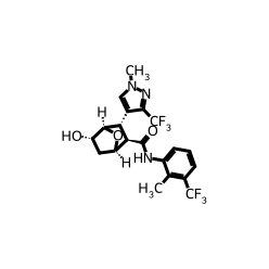 Cc1c(NC(=O)[C@@H]2[C@@H](c3cn(C)nc3C(F)(F)F)[C@H]3O[C@@H]2C[C@@H]3O)cccc1C(F)(F)F